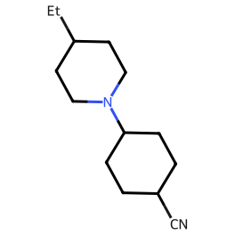 CCC1CCN(C2CCC(C#N)CC2)CC1